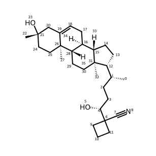 C[C@H](CC[C@@H](O)C1(C#N)CCC1)[C@H]1CC[C@H]2[C@@H]3CC=C4C[C@@](C)(O)CC[C@]4(C)[C@H]3CC[C@]12C